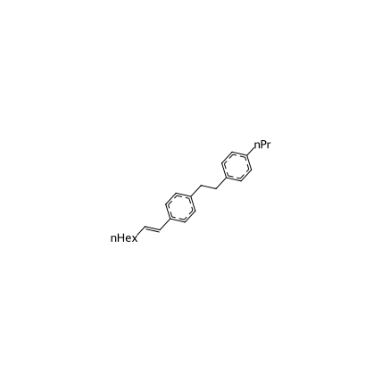 CCCCCCC=Cc1ccc(CCc2ccc(CCC)cc2)cc1